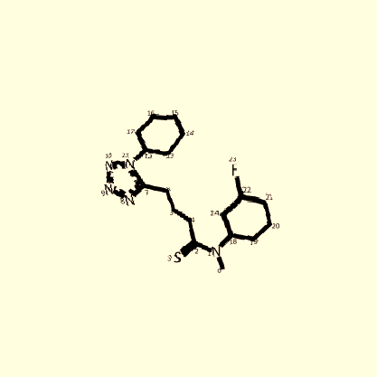 CN(C(=S)CCCc1nnnn1C1CCCCC1)C1CCCC(F)C1